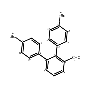 CC(C)(C)c1ccc(-c2cccc(C=O)c2-c2ccc(C(C)(C)C)cc2)cc1